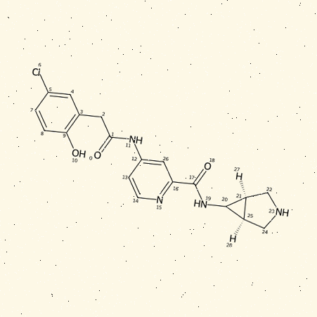 O=C(Cc1cc(Cl)ccc1O)Nc1ccnc(C(=O)NC2[C@H]3CNC[C@@H]23)c1